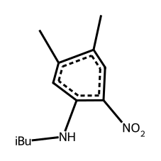 CCC(C)Nc1cc(C)c(C)cc1[N+](=O)[O-]